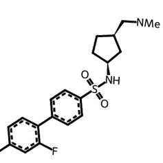 CNC[C@@H]1CC[C@H](NS(=O)(=O)c2ccc(-c3ccc(F)cc3F)cc2)C1